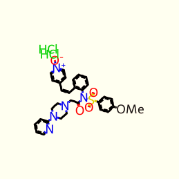 COc1ccc(S(=O)(=O)N(C(=O)CN2CCN(c3ccccn3)CC2)c2ccccc2C=Cc2cc[n+]([O-])cc2)cc1.Cl.Cl